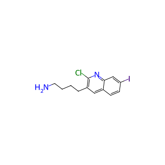 NCCCCc1cc2ccc(I)cc2nc1Cl